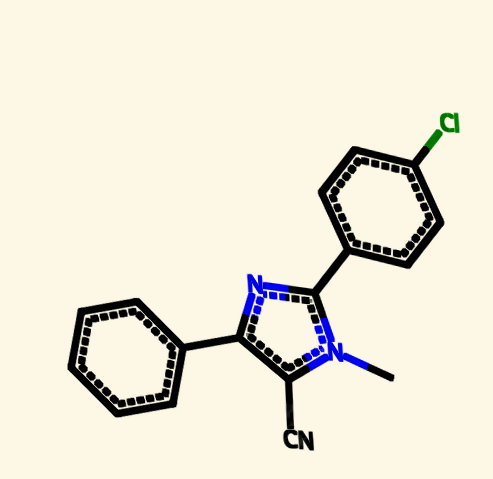 Cn1c(-c2ccc(Cl)cc2)nc(-c2ccccc2)c1C#N